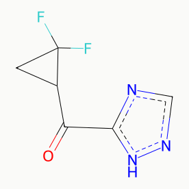 O=C(c1ncn[nH]1)C1CC1(F)F